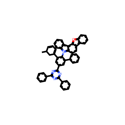 CC1C=CC=C(c2cc(-c3nc(-c4ccccc4)nc(-c4ccccc4)n3)cc(-c3ccccc3)c2-n2c3ccccc3c3c4oc5ccccc5c4ccc32)C1